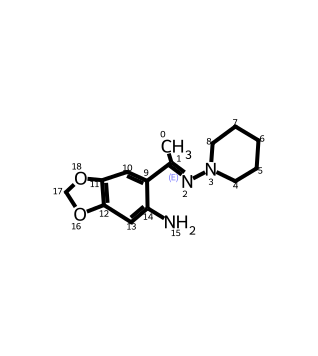 C/C(=N\N1CCCCC1)c1cc2c(cc1N)OCO2